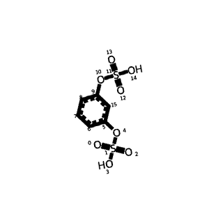 O=S(=O)(O)Oc1c[c]cc(OS(=O)(=O)O)c1